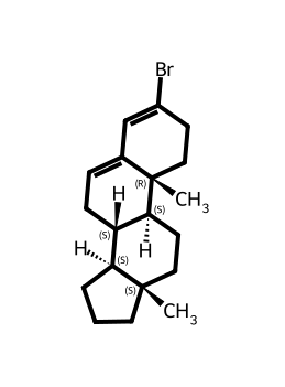 C[C@@]12CCC[C@H]1[C@@H]1CC=C3C=C(Br)CC[C@]3(C)[C@H]1CC2